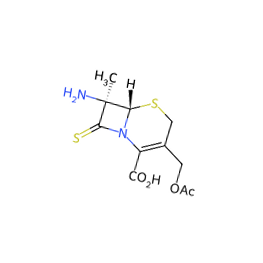 CC(=O)OCC1=C(C(=O)O)N2C(=S)[C@@](C)(N)[C@@H]2SC1